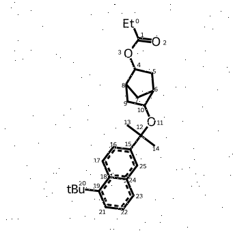 CCC(=O)OC1CC2CC1CC2OC(C)(C)c1ccc2c(C(C)(C)C)cccc2c1